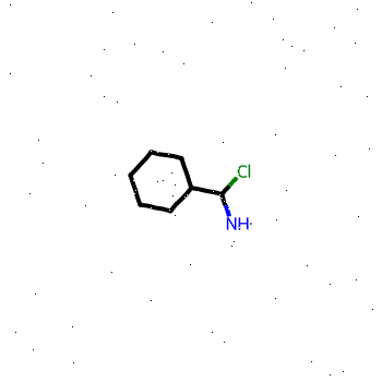 [NH]C(Cl)C1CCCCC1